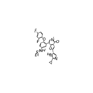 CCSNc1ccc(Oc2ccc(F)cc2F)c(-c2cn(C)c(=O)c3cc(-c4cnc(C5CC5)[nH]4)oc23)c1